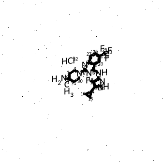 CC1(N)CCN(c2nc(Nc3n[nH]c(C4CC4)c3F)c3cc(C(F)(F)F)ccc3n2)CC1.Cl